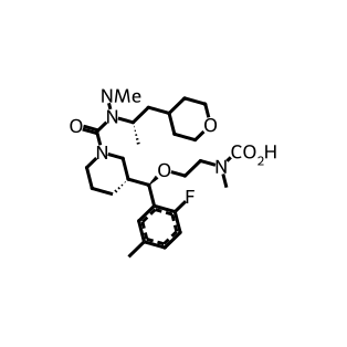 CNN(C(=O)N1CCC[C@@H]([C@@H](OCCN(C)C(=O)O)c2cc(C)ccc2F)C1)[C@@H](C)CC1CCOCC1